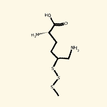 CSSSC(CN)CC[C@H](N)C(=O)O